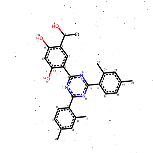 CCC(O)c1cc(-c2nc(-c3ccc(C)cc3C)nc(-c3ccc(C)cc3C)n2)c(O)cc1O